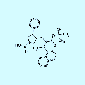 C[C@H](c1cccc2ccccc12)N(C[C@H]1CN(C(=O)O)C[C@@H]1c1ccccc1)C(=O)OC(C)(C)C